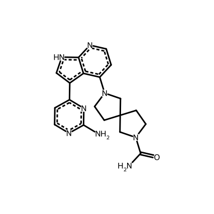 NC(=O)N1CCC2(CCN(c3ccnc4[nH]cc(-c5ccnc(N)n5)c34)C2)C1